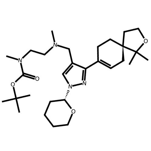 CN(CCN(C)C(=O)OC(C)(C)C)Cc1cn([C@H]2CCCCO2)nc1C1=CC[C@]2(CCOC2(C)C)CC1